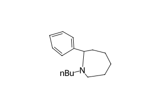 CCCCN1CCCCCC1c1ccccc1